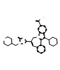 COC(=O)c1ccc2c(C3CCCCC3)c3n(c2c1)CC(c1nn(CC2CCOCC2)c(=O)o1)=Cc1ccccc1-3